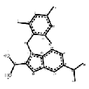 Cc1cc(C)c(Cn2c(C(O)O)cc3cc(C(C)C)ccc32)c(C)c1